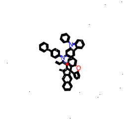 C=C/C(=C\C1=C(C)c2cc3ccccc3cc2C12c1ccccc1Oc1ccccc12)N(c1ccc(-c2ccccc2)cc1)c1ccc2c3ccccc3n(-c3ccccc3)c2c1